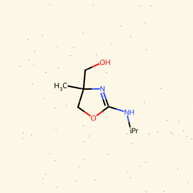 CC(C)NC1=NC(C)(CO)CO1